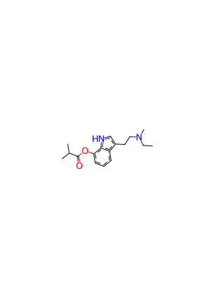 CCN(C)CCc1c[nH]c2c(OC(=O)C(C)C)cccc12